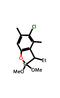 CCC1c2c(cc(C)c(Cl)c2C)O[Si]1(OC)OC